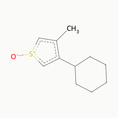 Cc1c[s+]([O-])cc1C1CCCCC1